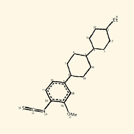 CCC1CCC(C2CCC(c3ccc(N=C=S)c(OC)c3)CC2)CC1